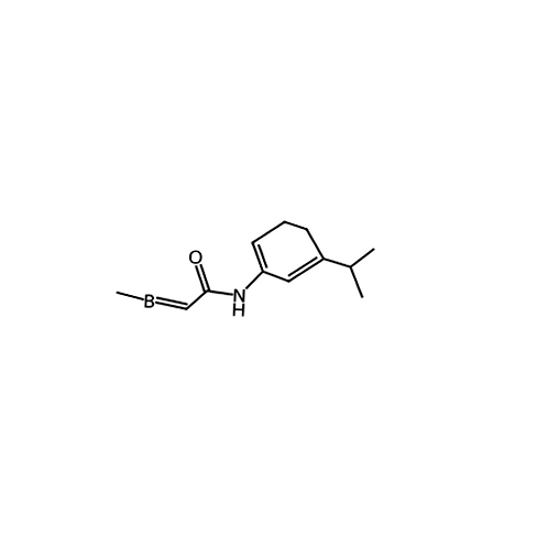 CB=CC(=O)NC1=CCCC(C(C)C)=C1